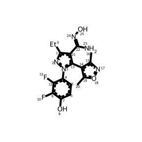 CCc1nn(-c2ccc(O)c(F)c2F)c(-c2c(C)noc2C)c1/C(N)=N/O